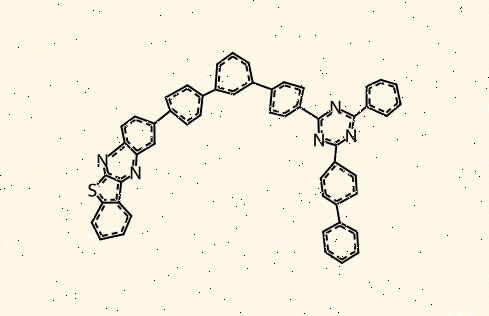 c1ccc(-c2ccc(-c3nc(-c4ccccc4)nc(-c4ccc(-c5cccc(-c6ccc(-c7ccc8nc9sc%10ccccc%10c9nc8c7)cc6)c5)cc4)n3)cc2)cc1